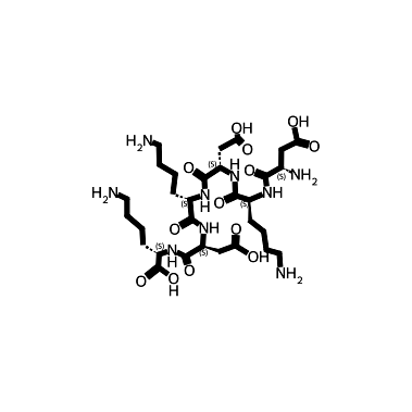 NCCCC[C@H](NC(=O)[C@H](CC(=O)O)NC(=O)[C@H](CCCCN)NC(=O)[C@H](CC(=O)O)NC(=O)[C@H](CCCCN)NC(=O)[C@@H](N)CC(=O)O)C(=O)O